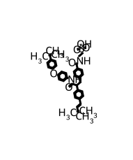 CC(C)(C)/C=C/c1ccc(C(Cc2ccc(C(=O)NCCS(=O)(=O)O)cc2)C(=O)Nc2ccc(Oc3ccc(C(C)(C)C)cc3)cc2)cc1